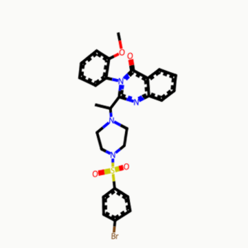 COc1ccccc1-n1c(C(C)N2CCN(S(=O)(=O)c3ccc(Br)cc3)CC2)nc2ccccc2c1=O